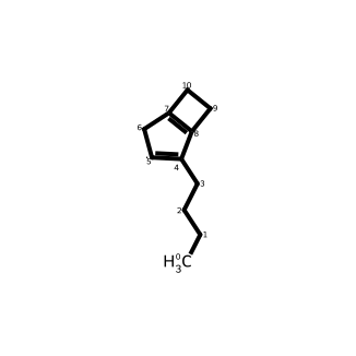 CCCCC1=[C]CC2=C1CC2